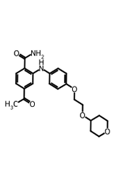 CC(=O)c1ccc(C(N)=O)c(Nc2ccc(OCCOC3CCOCC3)cc2)c1